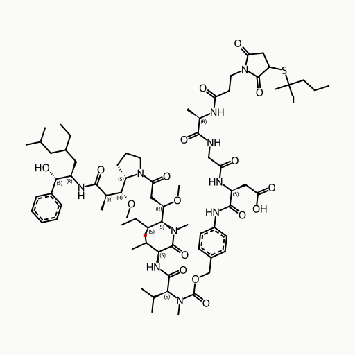 CCCC(C)(I)SC1CC(=O)N(CCC(=O)N[C@H](C)C(=O)NCC(=O)N[C@@H](CC(=O)O)C(=O)Nc2ccc(COC(=O)N(C)[C@H](C(=O)N[C@H](C(=O)N(C)[C@@H]([C@@H](C)CC)[C@@H](CC(=O)N3CCC[C@H]3[C@H](OC)[C@@H](C)C(=O)N[C@H](CC(CC)CC(C)C)[C@@H](O)c3ccccc3)OC)C(C)C)C(C)C)cc2)C1=O